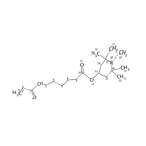 C=CC(=O)OCCCCCC(=O)OC1CC(C)(C)N(C)C(C)(C)C1